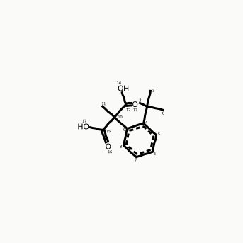 CC(C)(C)c1ccccc1C(C)(C(=O)O)C(=O)O